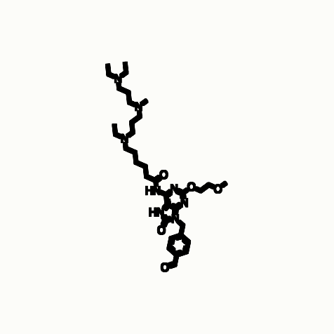 CCN(CC)CCCN(C)CCCN(CC)CCCCCC(=O)Nc1nc(OCCOC)nc2c1[nH]c(=O)n2Cc1ccc(C=O)cc1